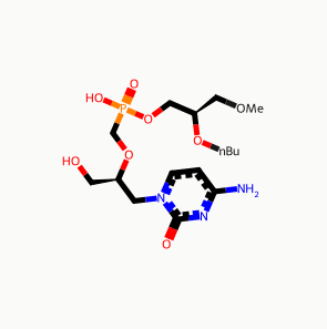 CCCCO[C@H](COC)COP(=O)(O)CO[C@H](CO)Cn1ccc(N)nc1=O